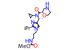 COC(=O)NCCCn1cc([C@@H](C)N(C(=O)[C@H]2CNCCO2)C2CC2)nc1C(C)C